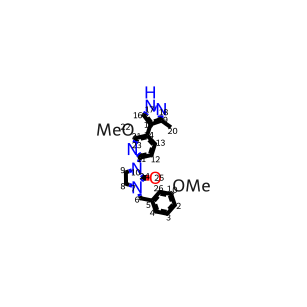 COc1cccc(CN2CCN(c3ccc(-c4c[nH]nc4C)c(OC)n3)C2=O)c1